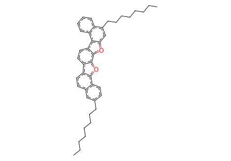 CCCCCCCCc1ccc2c(ccc3c4ccc5c(oc6cc(CCCCCCCC)c7ccccc7c65)c4oc23)c1